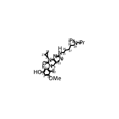 COc1cc(O)c(F)c(N2Cc3cnc(NCCCCCN(C(C)C)C(C)C)nc3N(C3CC3)C2=O)c1F